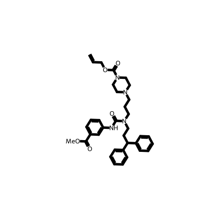 C=CCOC(=O)N1CCN(CCCN(CCC(c2ccccc2)c2ccccc2)C(=O)Nc2cccc(C(=O)OC)c2)CC1